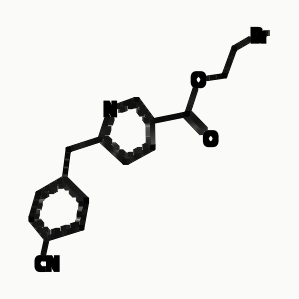 N#Cc1ccc(Cc2ccc(C(=O)OCCBr)cn2)cc1